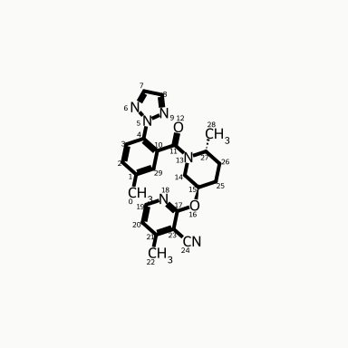 Cc1ccc(-n2nccn2)c(C(=O)N2C[C@H](Oc3nccc(C)c3C#N)CC[C@H]2C)c1